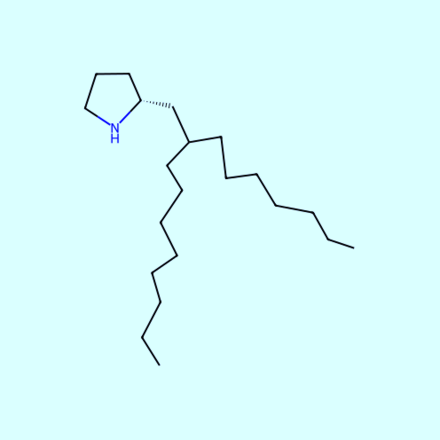 CCCCCCCCC(CCCCCCC)C[C@H]1CCCN1